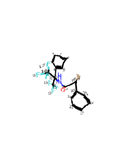 O=C(NC(c1ccccc1)(C(F)(F)F)C(F)(F)F)C(Br)c1ccccc1